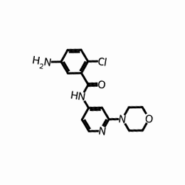 Nc1ccc(Cl)c(C(=O)Nc2ccnc(N3CCOCC3)c2)c1